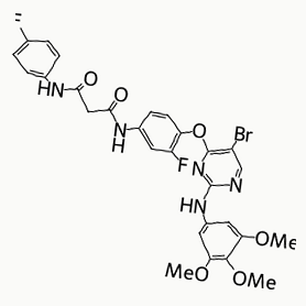 COc1cc(Nc2ncc(Br)c(Oc3ccc(NC(=O)CC(=O)Nc4ccc(F)cc4)cc3F)n2)cc(OC)c1OC